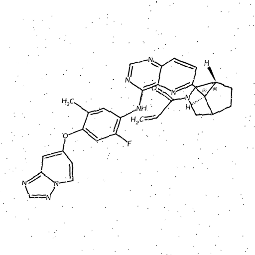 C=CC(=O)N1CC2CC[C@@H](C1)[C@@H]2c1ccc2ncnc(Nc3cc(C)c(Oc4ccn5ncnc5c4)cc3F)c2n1